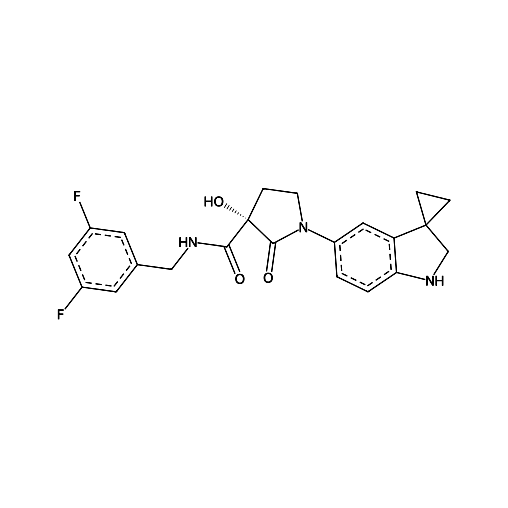 O=C(NCc1cc(F)cc(F)c1)[C@@]1(O)CCN(c2ccc3c(c2)C2(CC2)CN3)C1=O